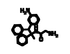 CC(NC(=O)CN)(c1ccccc1)C(c1ccccc1)c1cccc(N)c1